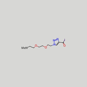 CNCCOCCOCCn1cc(C(=O)I)nn1